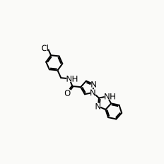 O=C(NCc1ccc(Cl)cc1)c1cnn(-c2nc3ccccc3[nH]2)c1